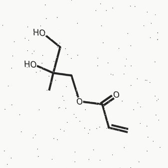 C=CC(=O)OCC(C)(O)CO